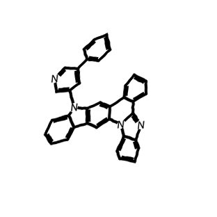 c1ccc(-c2cncc(-n3c4ccccc4c4cc5c(cc43)c3ccccc3c3nc4ccccc4n53)c2)cc1